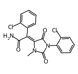 CN1C(=O)N(c2ccccc2Cl)C(=O)C1=C(C(N)=O)c1ccccc1Cl